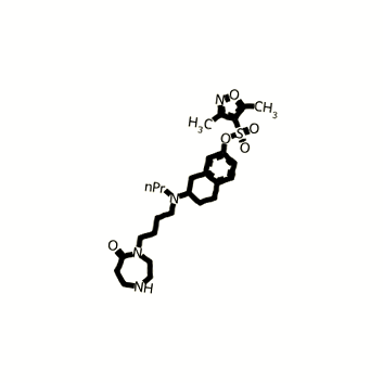 CCCN(CCCCN1CCNCCC1=O)C1CCc2ccc(OS(=O)(=O)c3c(C)noc3C)cc2C1